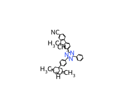 C[C@@H]1C[C@@H]2C[C@H](C)CC(c3ccc(-c4nc(-c5ccccc5)nc(-c5ccc6c(c5)C(C)(C)c5cc(C#N)ccc5-6)n4)cc3)(C1)C2